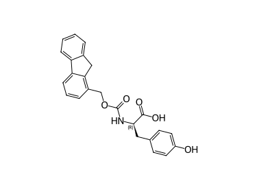 O=C(N[C@H](Cc1ccc(O)cc1)C(=O)O)OCc1cccc2c1Cc1ccccc1-2